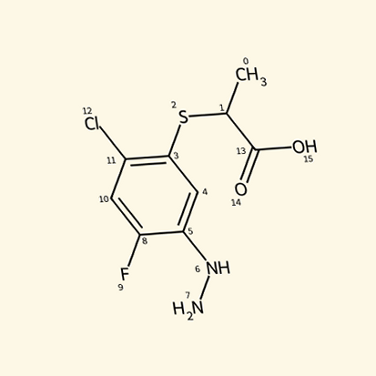 CC(Sc1cc(NN)c(F)cc1Cl)C(=O)O